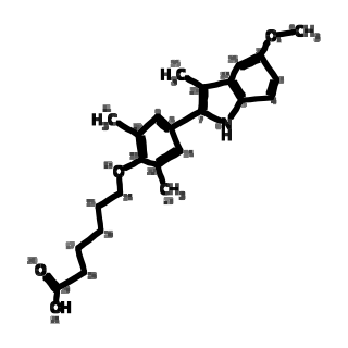 COc1ccc2[nH]c(-c3cc(C)c(OCCCCCC(=O)O)c(C)c3)c(C)c2c1